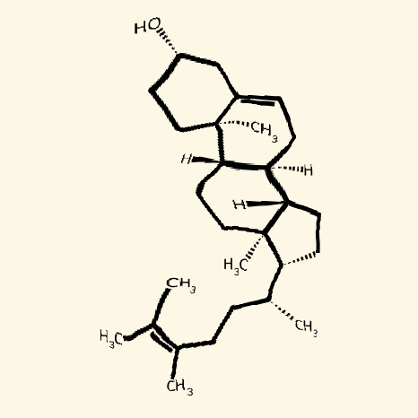 CC(C)=C(C)CC[C@@H](C)[C@H]1CC[C@H]2[C@@H]3CC=C4C[C@@H](O)CC[C@]4(C)[C@H]3CC[C@]12C